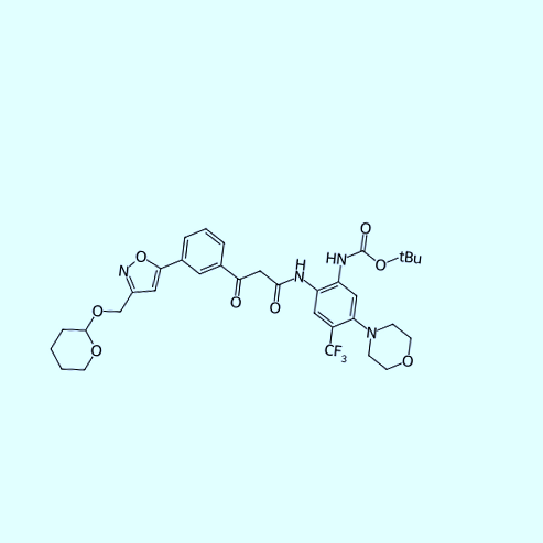 CC(C)(C)OC(=O)Nc1cc(N2CCOCC2)c(C(F)(F)F)cc1NC(=O)CC(=O)c1cccc(-c2cc(COC3CCCCO3)no2)c1